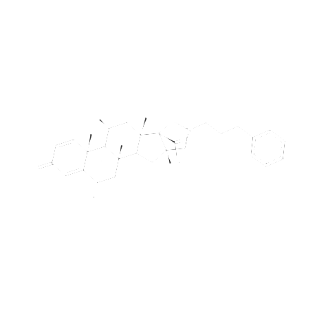 C[C@]12C=CC(=O)C=C1[C@@H](F)C[C@H]1[C@@H]3C[C@H]4CN(CCCc5ccccc5)O[C@@]4(C(=O)S)[C@@]3(C)C[C@H](O)[C@@]12F